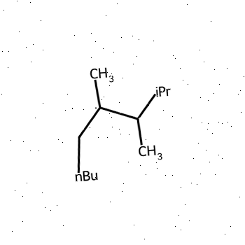 CCCCC[C](C)C(C)C(C)C